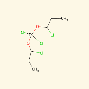 CCC(Cl)[O][Zr]([Cl])([Cl])[O]C(Cl)CC